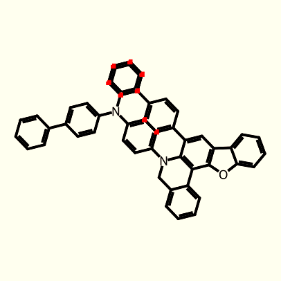 c1ccc(-c2ccc(-c3cc4c(oc5ccccc54)c4c3N(c3ccc(N(c5ccccc5)c5ccc(-c6ccccc6)cc5)cc3)Cc3ccccc3-4)cc2)cc1